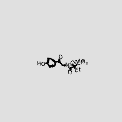 CCC(C)(OC)C(=O)NCC(=O)c1ccc(O)cc1